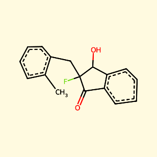 Cc1ccccc1CC1(F)C(=O)c2ccccc2C1O